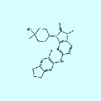 Cn1c(=O)n(C2CCC(C)(O)CC2)c2nc(Nc3cc4c(cc3Cl)OCC4)ncc21